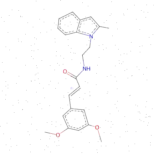 COc1cc(/C=C/C(=O)NCCn2c(C)cc3ccccc32)cc(OC)c1